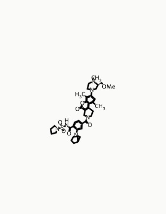 COC[C@H]1CN(c2cc(C)c3c4c(c(=O)oc3c2C)CN(C(=O)c2ccc(C(=O)NS(=O)(=O)N3CCCC3)c(N3CC5CCC3C5)c2)CC4)CCN1C